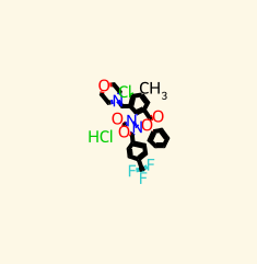 Cc1cc(C(=O)Oc2ccccc2)c(-n2nc(-c3ccc(C(F)(F)F)cc3)oc2=O)c(CN2CCOCC2)c1Cl.Cl